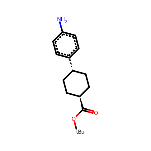 CC(C)(C)OC(=O)[C@H]1CC[C@H](c2ccc(N)cc2)CC1